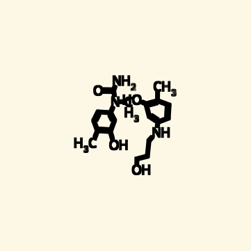 Cc1ccc(N(C)C(N)=O)cc1O.Cc1ccc(NCCCO)cc1O